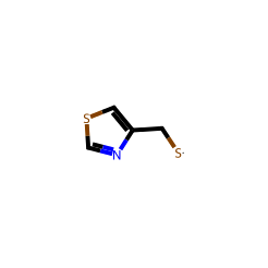 [S]Cc1cscn1